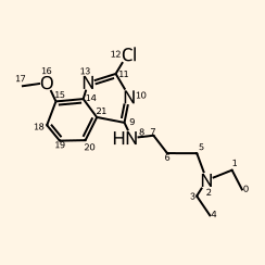 CCN(CC)CCCNc1nc(Cl)nc2c(OC)cccc12